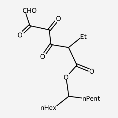 CCCCCCC(CCCCC)OC(=O)C(CC)C(=O)C(=O)C(=O)C=O